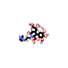 COC(=O)c1c(-c2cc(OC)c(OC)c(OC)c2)c2cc(OC)c(OC)cc2c(=O)n1CCCn1ccnc1